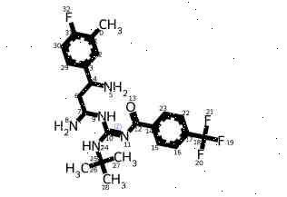 Cc1cc(C(N)CC(N)N/C(=N\C(=O)c2ccc(C(F)(F)F)cc2)NC(C)(C)C)ccc1F